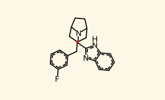 Fc1cccc(CC2CC3CCC(C2)N3Cc2nc3ccccc3[nH]2)c1